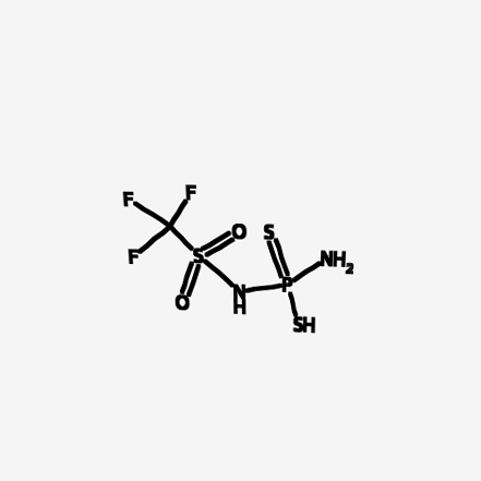 NP(=S)(S)NS(=O)(=O)C(F)(F)F